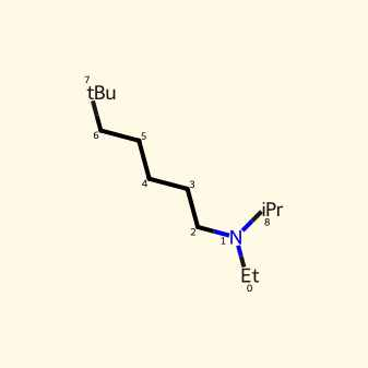 CCN(CCCCCC(C)(C)C)C(C)C